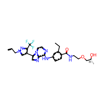 C=CCn1cc(-c2cnc3c(Nc4ccc(C(=O)NCCOC[C@@H](C)O)c(CC)c4)nccn23)c(C(F)(F)F)n1